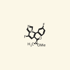 CON(C)C(=O)c1cc(F)c2cncn2c1-c1cccc(F)c1